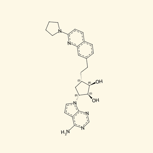 Nc1ncnc2c1ccn2[C@@H]1C[C@H](CCc2ccc3ccc(N4CCCC4)nc3c2)[C@@H](O)[C@H]1O